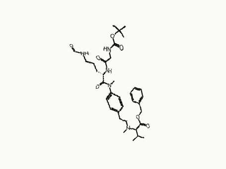 CC(C)C(C(=O)OCc1ccccc1)N(C)CCc1ccc(N(C)C(=O)[C@H](CCCNC=O)NC(=O)CNC(=O)OC(C)(C)C)cc1